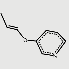 [CH2]/C=C/Oc1cccnc1